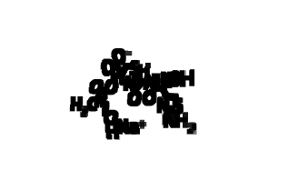 CN(CCO)C(=O)OCC1(C(=O)[O-])CS[C@@H]2C(NC(=O)C(=NO)c3csc(N)n3)C(=O)N2C1.[Na+]